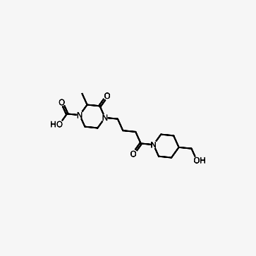 CC1C(=O)N(CCCC(=O)N2CCC(CO)CC2)CCN1C(=O)O